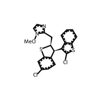 COn1ccnc1C[C@@H]1Sc2cc(Cl)ccc2[C@@H]1c1c(Cl)sc2ccccc12